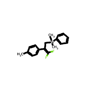 Cc1ccc(C(C[Si](C)(C)c2ccccc2)=C(F)F)cc1